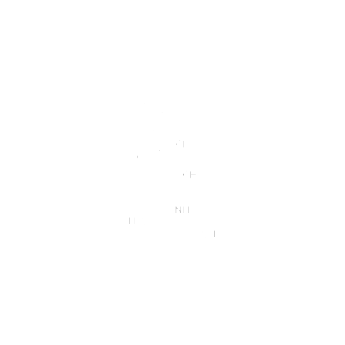 CCNC(C)CC(C)C(C)(C)C1CCC1